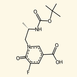 C[C@@H](Cn1cc(C(=O)O)cc(F)c1=O)NC(=O)OC(C)(C)C